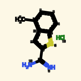 Cc1cccc2sc(C(=N)N)cc12.Cl